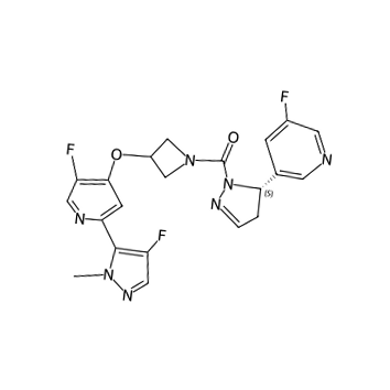 Cn1ncc(F)c1-c1cc(OC2CN(C(=O)N3N=CC[C@H]3c3cncc(F)c3)C2)c(F)cn1